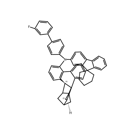 Fc1cccc(-c2ccc(N(c3ccc4c(c3)C3(CCCCC3)c3ccccc3-4)c3cccc4[C@H]5CC67CC(CC56)[C@@H](c5ccccc5-c43)C7)cc2)c1